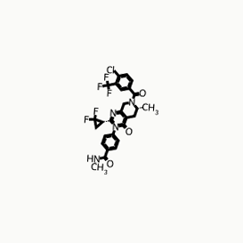 CNC(=O)c1ccc(-n2c([C@@H]3CC3(F)F)nc3c(c2=O)C[C@@H](C)N(C(=O)c2ccc(Cl)c(C(F)(F)F)c2)C3)cc1